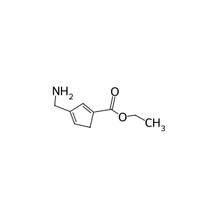 CCOC(=O)C1=CC(CN)=CC1